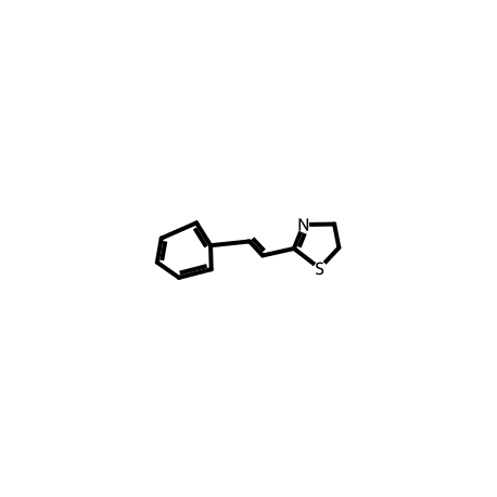 C(=Cc1ccccc1)C1=NCCS1